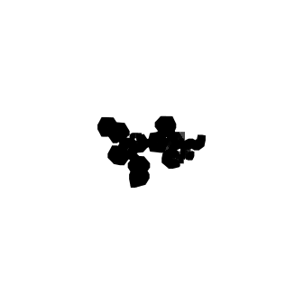 C=N/C(=C\C=C/C)c1nc2c3ccccc3c3cc(-c4ccc5c(-c6ccc7ccccc7c6)c6ccccc6c(-c6ccc7ccccc7c6)c5c4)ccc3n2c1-c1ccccn1